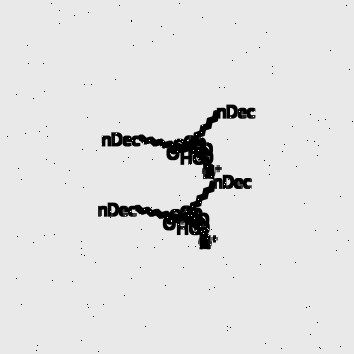 CCCCCCCCCCCCCCCCCC(=O)OCC(COP(=O)(O)OCC[N+](C)(C)C)OC(=O)CCCCCCCCCCCCCCCCC.CCCCCCCCCCCCCCCCCC(=O)OC[C@H](COP(=O)(O)OCC[N+](C)(C)C)OC(=O)CCCCCCCCCCCCCCCCC